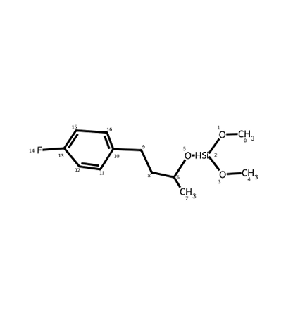 CO[SiH](OC)OC(C)CCc1ccc(F)cc1